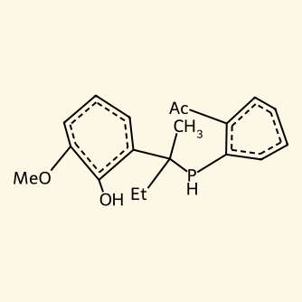 CCC(C)(Pc1ccccc1C(C)=O)c1cccc(OC)c1O